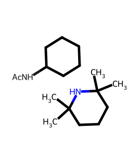 CC(=O)NC1CCCCC1.CC1(C)CCCC(C)(C)N1